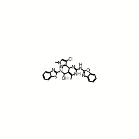 CC1=C(C(O)Nc2nc3ccccc3s2)C(c2nn(C)cc2Cl)N=C(Nc2nc3ccccc3o2)N1